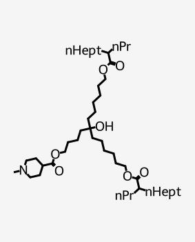 CCCCCCCC(CCC)C(=O)OCCCCCCC(O)(CCCCCCOC(=O)C(CCC)CCCCCCC)CCCCOC(=O)C1CCN(C)CC1